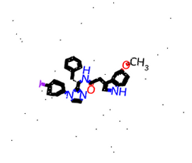 COc1ccc2[nH]cc(CC(=O)N[C@@H](Cc3ccccc3)c3nccn3-c3ccc(I)cc3)c2c1